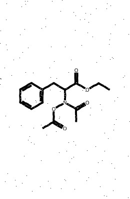 CCOC(=O)C(Cc1ccccc1)N(OC(C)=O)C(C)=O